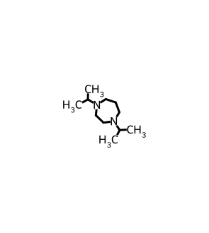 CC(C)N1CCCN(C(C)C)CC1